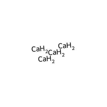 [CaH2].[CaH2].[CaH2].[CaH2]